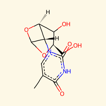 Cc1cn([C@@H]2C3O[C@H](CO)C(O)[C@@H]2O3)c(=O)[nH]c1=O